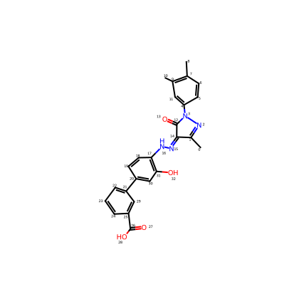 CC1=NN(c2ccc(C)c(C)c2)C(=O)C1=NNc1ccc(-c2cccc(C(=O)O)c2)cc1O